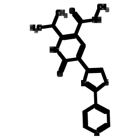 CNC(=O)c1cc(-c2csc(-c3ccncc3)n2)c(=O)[nH]c1C(C)C